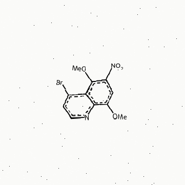 COc1cc([N+](=O)[O-])c(OC)c2c(Br)ccnc12